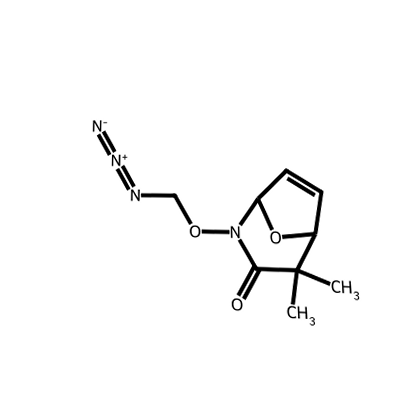 CC1(C)C(=O)N(OCN=[N+]=[N-])C2C=CC1O2